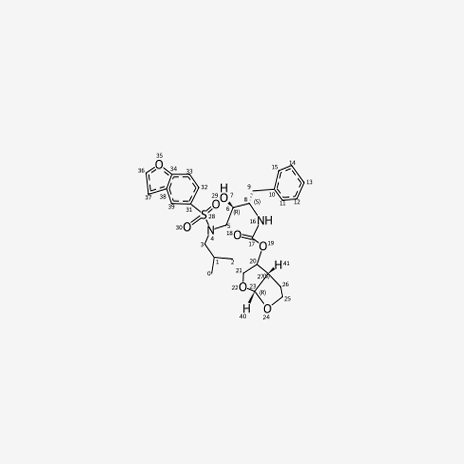 CC(C)CN(C[C@@H](O)[C@H](Cc1ccccc1)NC(=O)OC1CO[C@H]2OCC[C@@H]12)S(=O)(=O)c1ccc2occc2c1